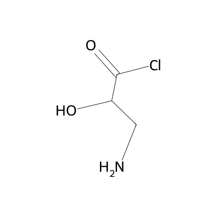 NCC(O)C(=O)Cl